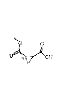 COC(=O)[C@@H]1CC1C(=O)O